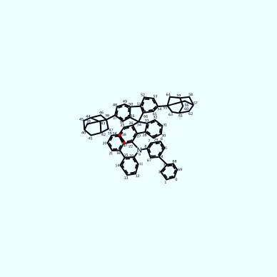 c1ccc(-c2cccc(N(c3ccccc3-c3ccccc3)c3cccc4c3-c3ccccc3C43c4cc(C56CC7CC(CC(C7)C5)C6)ccc4-c4ccc(C56CC7CC(CC(C7)C5)C6)cc43)c2)cc1